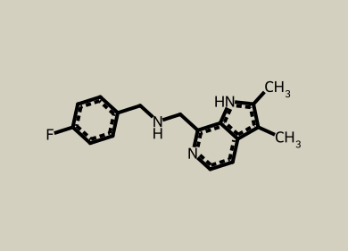 Cc1[nH]c2c(CNCc3ccc(F)cc3)nccc2c1C